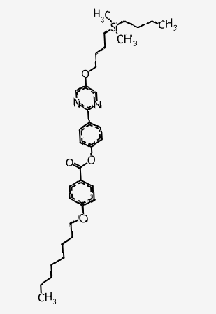 CCCCCCCCOc1ccc(C(=O)Oc2ccc(-c3ncc(OCCCC[Si](C)(C)CCCC)cn3)cc2)cc1